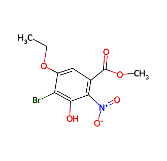 CCOc1cc(C(=O)OC)c([N+](=O)[O-])c(O)c1Br